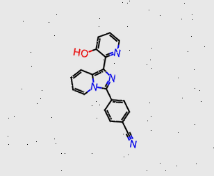 N#Cc1ccc(-c2nc(-c3ncccc3O)c3ccccn23)cc1